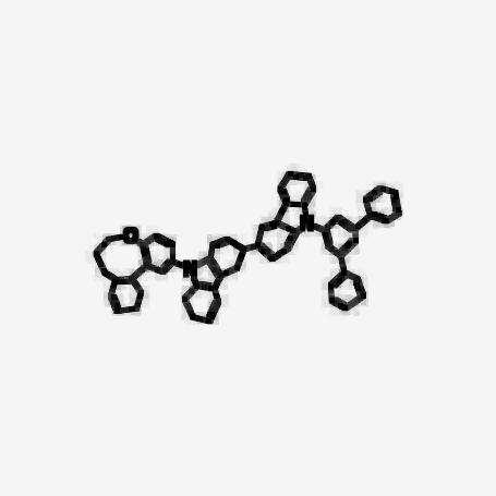 C1=CC2=C(CC1)c1cc(-n3c4c(c5c3CCC=C5)CC(c3ccc5c(c3)c3ccccc3n5-c3cc(-c5ccccc5)cc(-c5ccccc5)c3)C=C4)ccc1OCCC2